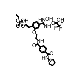 CCOP(=O)(O)OC=Cc1ccc(C(=N)NO)cc1OCCNC(=O)c1ccc(C(=O)NN2CCCC2)cc1.O=C(O)C(F)(F)F